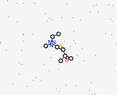 c1ccc(-c2cccc(-c3nc(-c4ccccc4)nc(-c4ccc5c(c4)sc4ccc(-c6cc(-c7ccccc7)c7oc8ccccc8c7c6)cc45)n3)c2)cc1